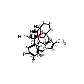 Cc1cn2ccnc(C(=O)N3[C@@H]4CCC[C@H]3c3nn(C)c(-c5cc(F)c(F)c(F)c5)c3C4)c2n1